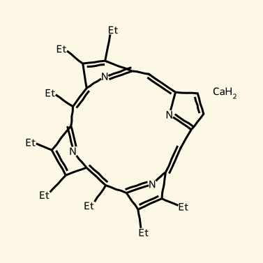 CCC1=C(CC)C2=NC1=CC1=NC(=CC3=NC(=C(CC)C4=NC(=C2CC)C(CC)=C4CC)C(CC)=C3CC)C=C1.[CaH2]